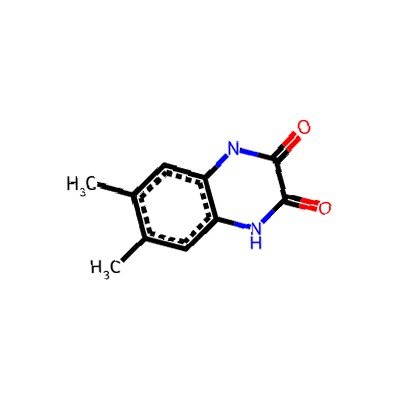 Cc1cc2c(cc1C)NC(=O)C(=O)[N]2